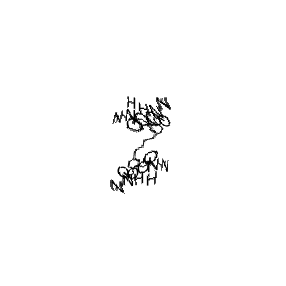 CN(C)CCNC(=O)Oc1ccc(CCCCc2ccc(OC(=O)NCCN(C)C)c(OC(=O)NCCN(C)C)c2)cc1OC(=O)NCCN(C)C